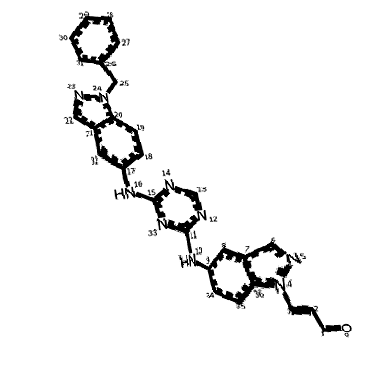 O=CC=Cn1ncc2cc(Nc3ncnc(Nc4ccc5c(cnn5Cc5ccccc5)c4)n3)ccc21